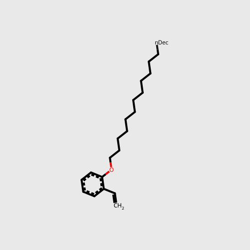 C=Cc1ccccc1OCCCCCCCCCCCCCCCCCCCCCC